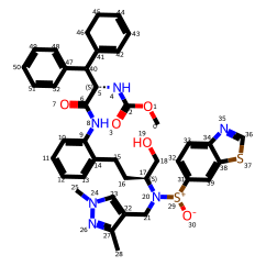 COC(=O)N[C@H](C(=O)Nc1ccccc1CC[C@@H](CO)N(Cc1cn(C)nc1C)[S+]([O-])c1ccc2ncsc2c1)C(C1=CC=CCC1)c1ccccc1